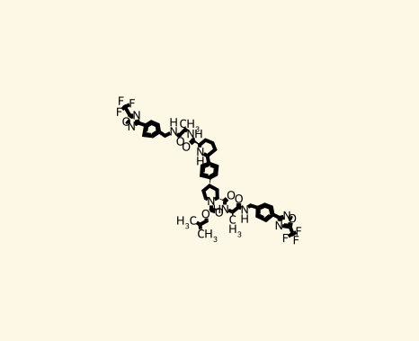 CC(C)COC(=O)N1CC[C@H](c2ccc(C3CCC[C@H](C(=O)N[C@@H](C)C(=O)NCc4ccc(-c5noc(C(F)(F)F)n5)cc4)N3)cc2)C[C@@H]1C(=O)N[C@@H](C)C(=O)NCc1ccc(-c2noc(C(F)(F)F)n2)cc1